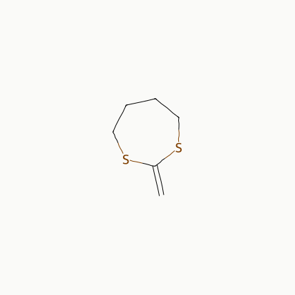 C=C1SCCCCS1